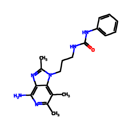 Cc1nc(N)c2nc(C)n(CCCNC(=O)Nc3ccccc3)c2c1C